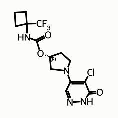 O=C(NC1(C(F)(F)F)CCC1)O[C@@H]1CCN(c2cn[nH]c(=O)c2Cl)C1